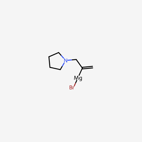 C=[C](CN1CCCC1)[Mg][Br]